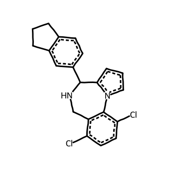 Clc1ccc(Cl)c2c1CNC(c1ccc3c(c1)CCC3)c1cccn1-2